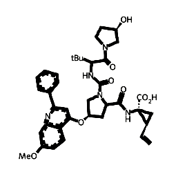 C=C[C@@H]1C[C@@]1(NC(=O)C1C[C@@H](Oc2cc(-c3ccccc3)nc3cc(OC)ccc23)CN1C(=O)NC(C(=O)N1CC[C@@H](O)C1)C(C)(C)C)C(=O)O